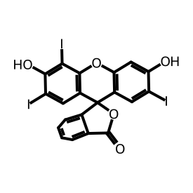 O=C1OC2(c3cc(I)c(O)cc3Oc3c2cc(I)c(O)c3I)c2ccccc21